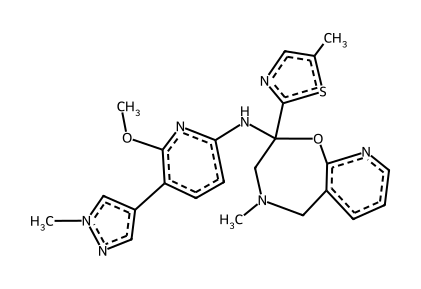 COc1nc(NC2(c3ncc(C)s3)CN(C)Cc3cccnc3O2)ccc1-c1cnn(C)c1